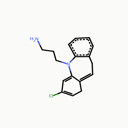 NCCCN1C2=CC(Cl)=CCC2=CCc2ccccc21